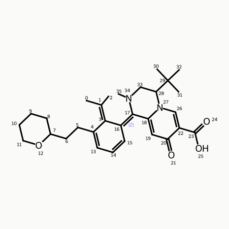 CC(C)=c1c(CCC2CCCCO2)ccc/c1=C1\c2cc(=O)c(C(=O)O)cn2C(C(C)(C)C)CN1C